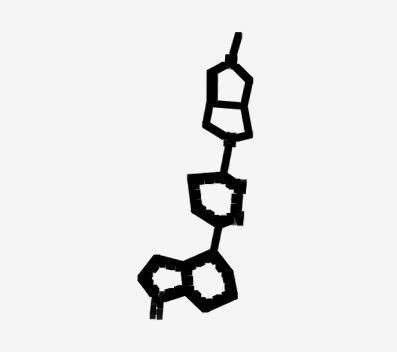 CN1C=C2CN(c3ccc(-c4cccc5[nH]ccc45)nn3)CC2C1